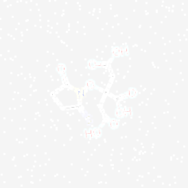 O=C(O)CC(CC(=O)O)(ON1C(=O)CCC1=S)C(=O)O